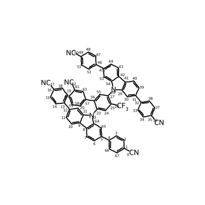 N#Cc1ccc(-c2ccc3c4ccc(-c5ccc(C#N)cc5)cc4n(-c4cc(C(F)(F)F)c(-n5c6cc(-c7ccc(C#N)cc7)ccc6c6ccc(-c7ccc(C#N)cc7)cc65)cc4-c4cccc(C#N)c4)c3c2)cc1